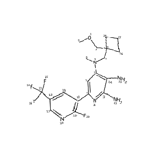 COCC1(CN(C)c2cc(-c3cc(C(F)(F)F)cnc3F)nc(N)c2N)CCC1